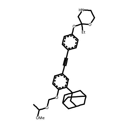 CCC1(Oc2ccc(C#Cc3ccc(OCOC(C)OC)c(C45CC6CC(CC(C6)C4)C5)c3)cc2)CNCCO1